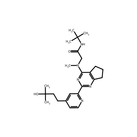 CN(CC(=O)NC(C)(C)C)c1nc(-c2cc(CCC(C)(C)O)ccn2)nc2c1CCC2